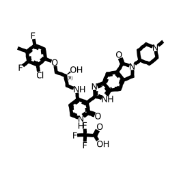 Cc1c(F)cc(OC[C@H](O)CNc2cc[nH]c(=O)c2-c2nc3cc4c(cc3[nH]2)CN(C2CCN(C)CC2)C4=O)c(Cl)c1F.O=C(O)C(F)(F)F